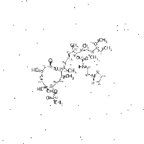 CCC(OC)C(C)C1OC1C(OC(=O)NCCN1CCCC1)C(C)/C=C/C=C(\C)C1OC(=O)CC(O)CCC(C)(O)C(OC(C)=O)/C=C/C1C